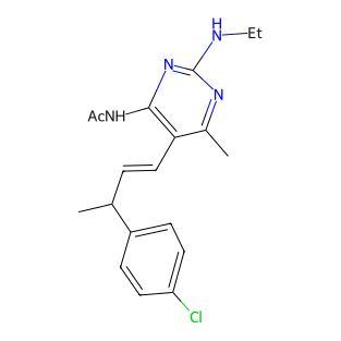 CCNc1nc(C)c(C=CC(C)c2ccc(Cl)cc2)c(NC(C)=O)n1